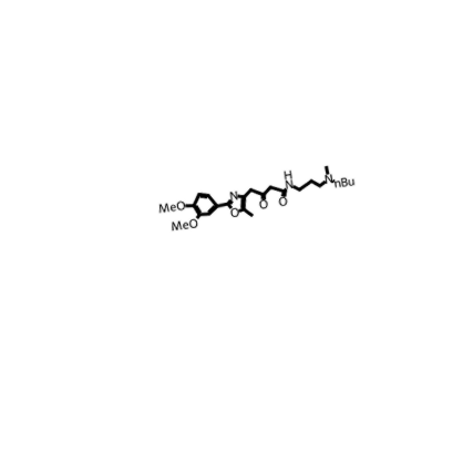 CCCCN(C)CCCNC(=O)CC(=O)Cc1nc(-c2ccc(OC)c(OC)c2)oc1C